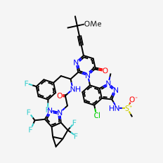 COC(C)(C)C#Cc1cc(=O)n(-c2ccc(Cl)c3c(N[S+](C)[O-])nn(C)c23)c(C(Cc2cc(F)cc(F)c2)NC(=O)Cn2nc(C(F)F)c3c2C(F)(F)C2CC32)n1